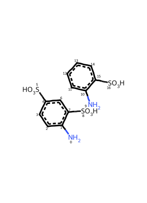 Nc1ccc(S(=O)(=O)O)cc1S(=O)(=O)O.Nc1ccccc1S(=O)(=O)O